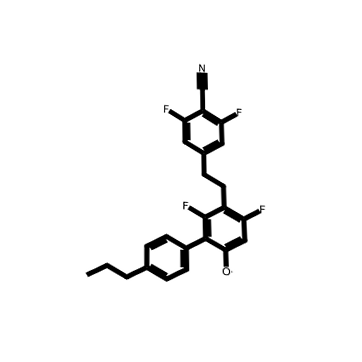 CCCc1ccc(-c2c([O])cc(F)c(CCc3cc(F)c(C#N)c(F)c3)c2F)cc1